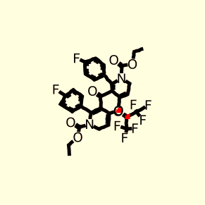 CCOC(=O)N1CC=C(OCC(F)(F)F)C(C(=O)C2=C(c3ccc(F)cc3)N(C(=O)OCC)CC=C2OCC(F)(F)F)=C1c1ccc(F)cc1